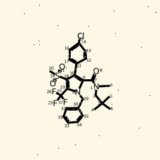 CN(CC(C)(C)C)C(=O)c1c(-c2ccc(Cl)cc2)c(S(C)(=O)=O)c(C(F)(F)F)n1Cc1ccccc1